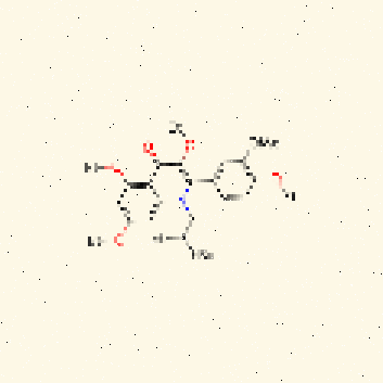 CCCCC(CC)Cn1c(-c2ccc(OCC)c(OC)c2)c(OCC)c(=O)c2c(OCC)cc(OCC)cc21